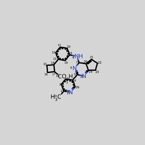 Cc1ccc(C2=NC(Nc3cccc(C4CCC4C(=O)O)c3)C3=CCCC3=N2)cn1